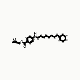 O=C(OCC1CO1)c1ccc(NCCCCCCCCC2CCCCC2)cc1